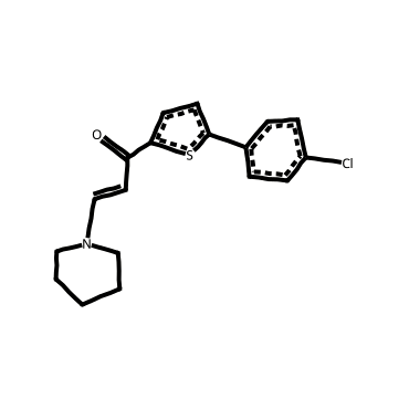 O=C(C=CN1CCCCC1)c1ccc(-c2ccc(Cl)cc2)s1